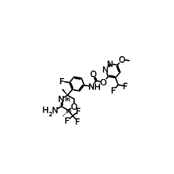 COc1cc(C(F)F)c(OC(=O)Nc2ccc(F)c([C@]3(C)CO[C@@](C)(C(F)(F)F)C(N)=N3)c2)nn1